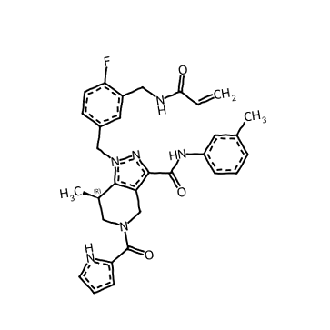 C=CC(=O)NCc1cc(Cn2nc(C(=O)Nc3cccc(C)c3)c3c2[C@H](C)CN(C(=O)c2ccc[nH]2)C3)ccc1F